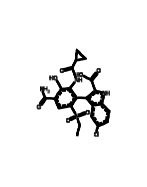 CCS(=O)(=O)c1cc(C(N)=O)c(O)c(NC(=O)C2CC2)c1-c1c(C(=O)O)[nH]c2ccc(Cl)cc12